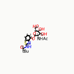 CC(=O)N[C@@H]1[C@@H](Oc2cccc3sc(NC(=O)C(C)(C)C)nc23)O[C@@H](CO)[C@H](O)[C@H]1O